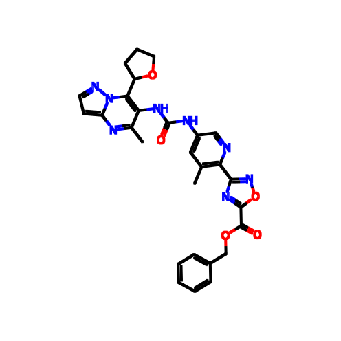 Cc1cc(NC(=O)Nc2c(C)nc3ccnn3c2C2CCCO2)cnc1-c1noc(C(=O)OCc2ccccc2)n1